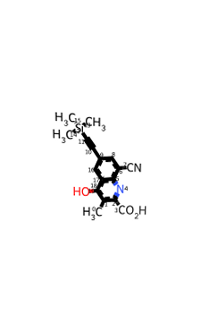 Cc1c(C(=O)O)nc2c(C#N)cc(C#C[Si](C)(C)C)cc2c1O